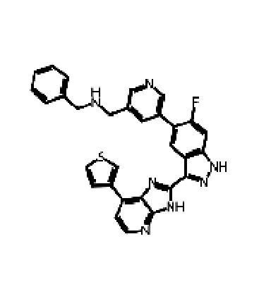 Fc1cc2[nH]nc(-c3nc4c(-c5ccsc5)ccnc4[nH]3)c2cc1-c1cncc(CNCc2ccccc2)c1